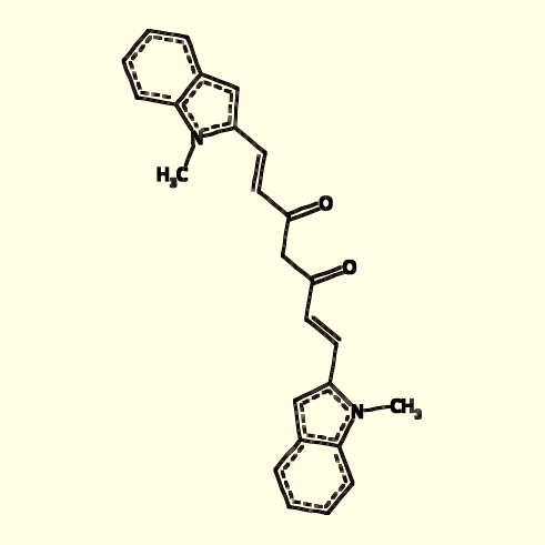 Cn1c(C=CC(=O)CC(=O)C=Cc2cc3ccccc3n2C)cc2ccccc21